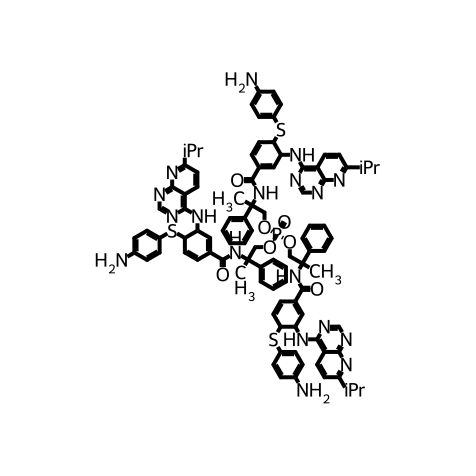 CC(C)c1ccc2c(NC3C=C(C(=O)NC(C)(COP(=O)(OCC(C)(NC(=O)C4=CC(Nc5ncnc6nc(C(C)C)ccc56)C(Sc5ccc(N)cc5)C=C4)c4ccccc4)OCC(C)(NC(=O)C4=CC(Nc5ncnc6nc(C(C)C)ccc56)C(Sc5ccc(N)cc5)C=C4)c4ccccc4)c4ccccc4)C=CC3Sc3ccc(N)cc3)ncnc2n1